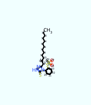 CCCCCCCCCCCCCc1n[nH]c(=S)n1-c1ccccc1SS(C)(=O)=O